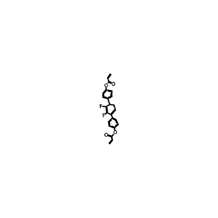 C=CC(=O)Oc1ccc(C2=CCC(c3ccc(OC(=O)C=C)cc3)C(F)=C2F)cc1